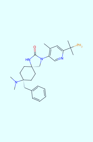 Cc1cc(C(C)(C)P)ncc1N1C[C@]2(CC[C@](Cc3ccccc3)(N(C)C)CC2)NC1=O